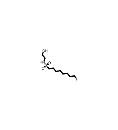 O=S(=O)(CCCCCCCCF)NCCO